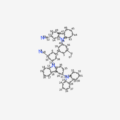 CCc1cc(-c2cc(C#N)cc(-n3c4ccccc4c4cc(-n5c6ccccc6c6ccccc65)ccc43)c2)cc(-n2c3ccccc3c3ccc(C#N)cc32)c1